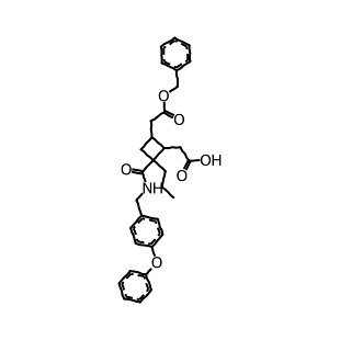 CCCC1(C(=O)NCc2ccc(Oc3ccccc3)cc2)CC(CC(=O)OCc2ccccc2)C1CC(=O)O